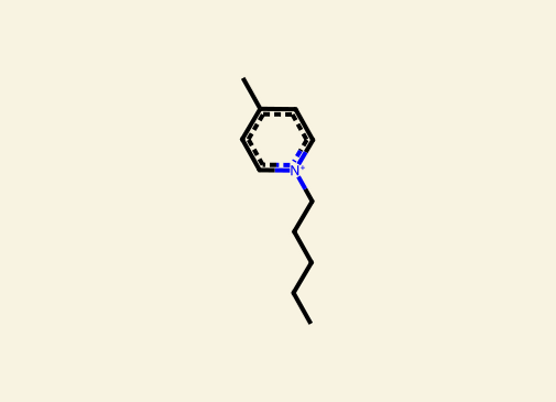 CCCCC[n+]1ccc(C)cc1